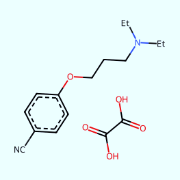 CCN(CC)CCCOc1ccc(C#N)cc1.O=C(O)C(=O)O